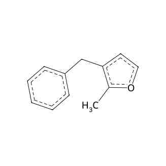 Cc1occc1Cc1ccccc1